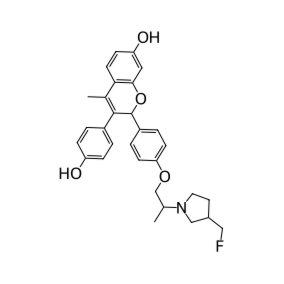 CC1=C(c2ccc(O)cc2)C(c2ccc(OCC(C)N3CCC(CF)C3)cc2)Oc2cc(O)ccc21